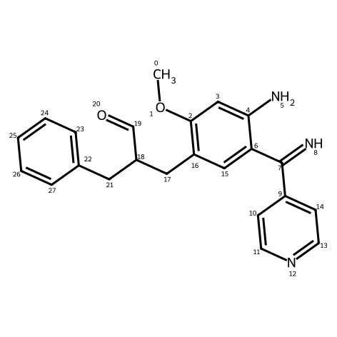 COc1cc(N)c(C(=N)c2ccncc2)cc1CC(C=O)Cc1ccccc1